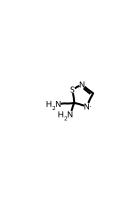 NC1(N)[N]C=NS1